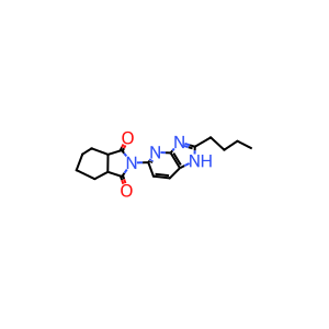 CCCCc1nc2nc(N3C(=O)C4CCCCC4C3=O)ccc2[nH]1